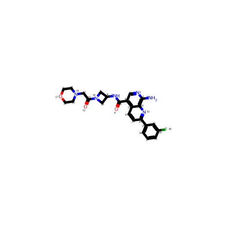 Nc1ncc(C(=O)NC2CN(C(=O)CN3CCOCC3)C2)c2ccc(-c3cccc(F)c3)nc12